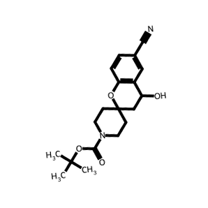 CC(C)(C)OC(=O)N1CCC2(CC1)CC(O)c1cc(C#N)ccc1O2